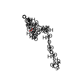 CC[C@H](C)[C@@H]([C@@H](CC(=O)N1CCC[C@H]1[C@H](OC)[C@@H](C)C(=O)N[C@H](C)[C@@H](O)c1ccccc1)OC)N(C)C(=O)[C@@H](NC(=O)[C@H](C(C)C)N(C)C(=O)OCc1ccc(NC(=O)[C@H](CCCNC(N)=O)NC(=O)[C@@H](NC(=O)CCC(=O)NCCOCCOC(=O)Oc2ccc(C(=O)NCCCC[C@@H]3NC(C(C)=O)CSSCC(C)C3=O)cc2)C(C)C)cc1)C(C)C